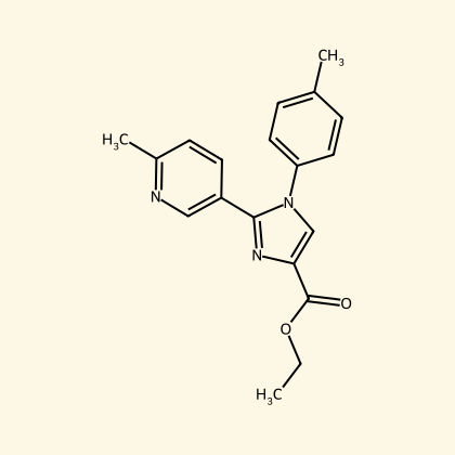 CCOC(=O)c1cn(-c2ccc(C)cc2)c(-c2ccc(C)nc2)n1